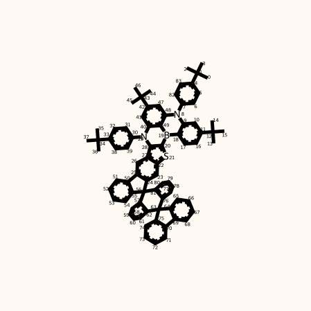 CC(C)(C)c1ccc(N2c3cc(C(C)(C)C)ccc3B3c4sc5cc6c(cc5c4N(c4ccc(C(C)(C)C)cc4)c4cc(C(C)(C)C)cc2c43)-c2ccccc2C62c3ccccc3C3(c4ccccc4-c4ccccc43)c3ccccc32)cc1